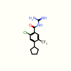 N=C(N)NC(=O)c1cc(C(F)(F)F)c(C2CCCC2)cc1Cl